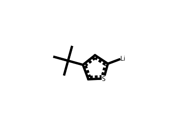 [Li][c]1cc(C(C)(C)C)cs1